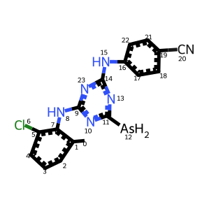 Cc1cccc(Cl)c1Nc1nc([AsH2])nc(Nc2ccc(C#N)cc2)n1